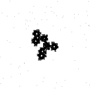 c1ccc(-c2cc(-c3cccc(-n4c5ccccc5c5ccccc54)c3)nc(-c3ccc4ccccc4n3)n2)cc1